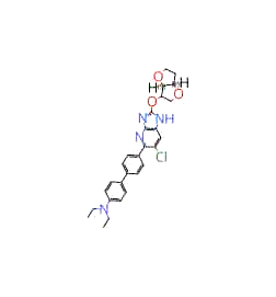 CCN(CC)c1ccc(-c2ccc(-c3nc4nc(OC5CO[C@@H]6CCO[C@H]56)[nH]c4cc3Cl)cc2)cc1